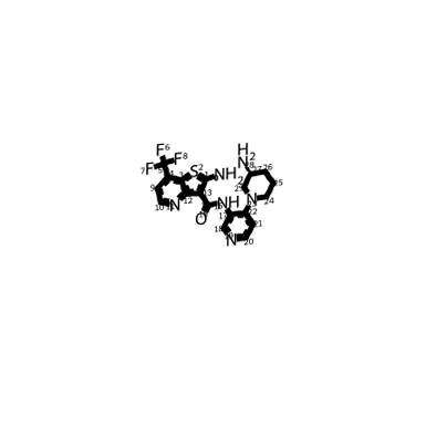 Nc1sc2c(C(F)(F)F)ccnc2c1C(=O)Nc1cnccc1N1CCC[C@H](N)C1